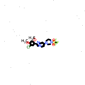 COc1cc(OC)c(-c2cn3ccc(N4CCCN(S(=O)(=O)C(F)(F)F)CC4)cc3n2)cc1Cl